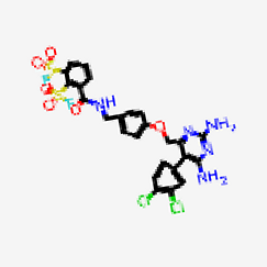 Nc1nc(N)c(-c2ccc(Cl)c(Cl)c2)c(COc2ccc(CNC(=O)c3cccc(S(=O)(=O)F)c3S(=O)(=O)F)cc2)n1